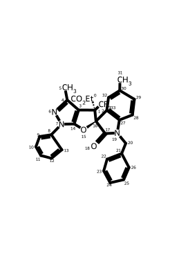 CCOC(=O)[C@@]1(C(F)(F)F)c2c(C)nn(-c3ccccc3)c2O[C@@]12C(=O)N(Cc1ccccc1)c1ccc(C)cc12